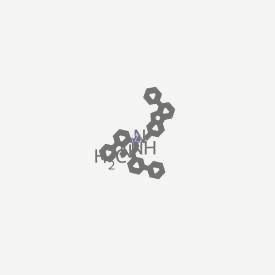 C=NC(N/C(=N\Cc1ccc2c(c1)Cc1c(-c3ccccc3)cccc1-2)c1cccc(-c2ccccc2)c1)c1cccc(-c2ccccc2)c1